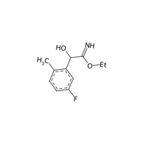 CCOC(=N)C(O)c1cc(F)ccc1C